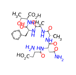 C[C@H](NC(=O)[C@H](C)NC(=O)[C@H](CC(N)=O)NC(=O)[C@@H](N)CC(=O)O)C(=O)N[C@@H](Cc1ccccc1)C(=O)N[C@H](C(=O)O)[C@@H](C)O